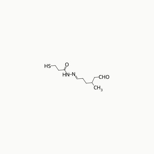 CC(CC=O)CC/C=N/NC(=O)CCS